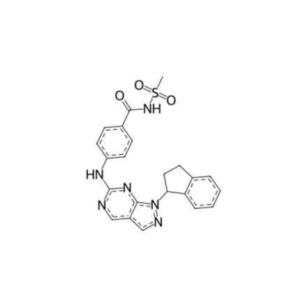 CS(=O)(=O)NC(=O)c1ccc(Nc2ncc3cnn(C4CCc5ccccc54)c3n2)cc1